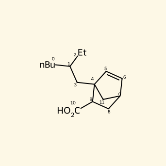 CCCCC(CC)CC12C=CC(CC1C(=O)O)C2